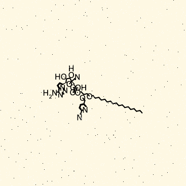 CCCCCCCCCCCCCCCCCCOCC(COP(=O)(O)OC[C@@]1(C#N)O[C@@H](c2ccc3c(N)ncnn23)[C@H](O)[C@@H]1O)OCc1ccc(C#N)nc1